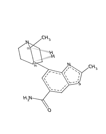 Cc1nc2c([C@H]3C4CCN(CC4)[C@H]3C)cc(C(N)=O)cc2s1